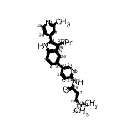 Cc1cc(-c2[nH]c3ccc(-c4ccc(NC(=O)CCN(C)C)nc4)cc3c2C(C)C)ccn1